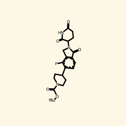 CC(C)(C)OC(=O)N1CCC(c2ccc3c(c2F)CN(C2CCC(=O)NC2=O)C3=O)CC1